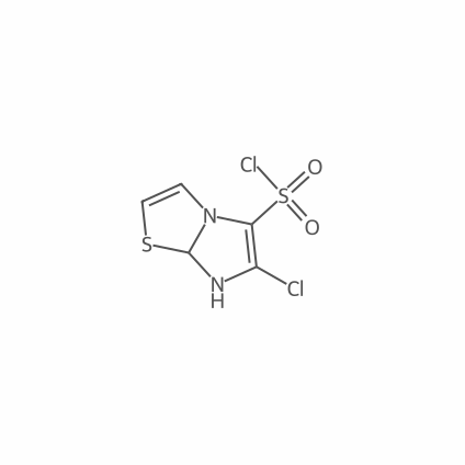 O=S(=O)(Cl)C1=C(Cl)NC2SC=CN12